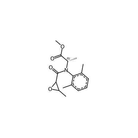 COC(=O)[C@H](C)N(C(=O)C1OC1C)c1c(C)cccc1C